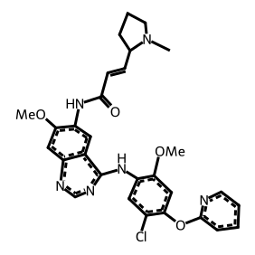 COc1cc2ncnc(Nc3cc(Cl)c(Oc4ccccn4)cc3OC)c2cc1NC(=O)C=CC1CCCN1C